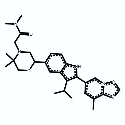 Cc1cc(-c2[nH]c3ccc(C4CN(CC(=O)N(C)C)C(C)(C)CO4)cc3c2C(C)C)cn2ncnc12